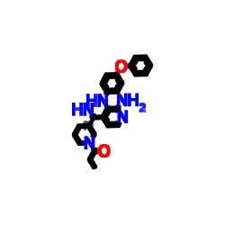 CCC(=O)N1CCC[C@@H](C(=N)c2ccnc(N)c2Nc2ccc(Oc3ccccc3)cc2)C1